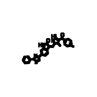 Cc1[nH]c(/C=C2\C(=O)Nc3cc(-c4csc(-c5ccccc5)n4)ccc32)c(C)c1C(=O)N1CCN(C)CC1